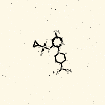 Cc1cnc(N2CCC(N(C)C)CC2)c(NS(=O)(=O)C2CC2)c1